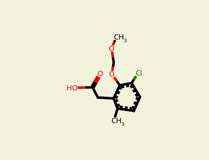 COCOc1c(Cl)ccc(C)c1CC(=O)O